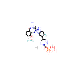 CC(C)(OP(=O)(O)O)c1ncc(-c2cc3c(cc2F)nc2n3C3C[C@H]2NC(=O)c2cccc(OC(F)F)c23)cn1